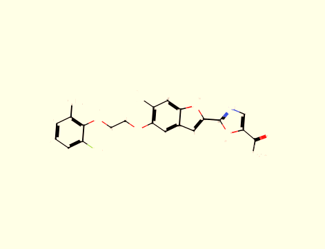 COC(=O)c1cnc(-c2cc3cc(OCCOc4c(C)cccc4F)c(C)cc3o2)o1